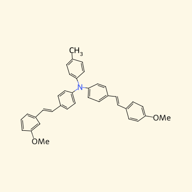 COc1ccc(C=Cc2ccc(N(c3ccc(C)cc3)c3ccc(C=Cc4cccc(OC)c4)cc3)cc2)cc1